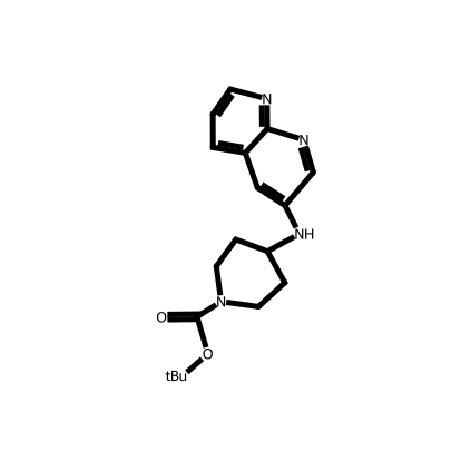 CC(C)(C)OC(=O)N1CCC(Nc2cnc3ncccc3c2)CC1